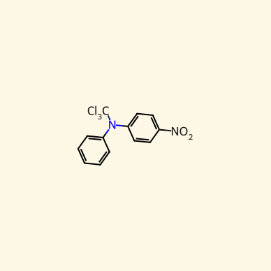 O=[N+]([O-])c1ccc(N(c2ccccc2)C(Cl)(Cl)Cl)cc1